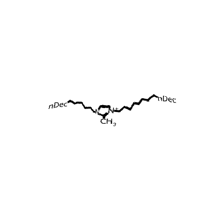 CCCCCCCCCCCCCCCCCC[n+]1ccn(CCCCCCCCCCCCCCCC)c1C